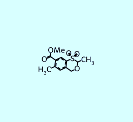 COC(=O)c1cc2c(cc1C)COC(C)S2(=O)=O